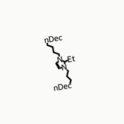 CCCCCCCCCCCCCCN1C=CN(CCCCCCCCCCCCC)C1CC